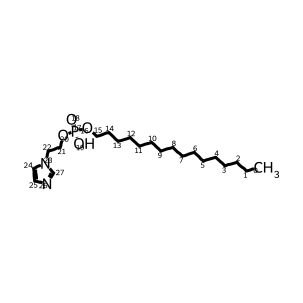 CCCCCCCCCCCCCCCCOP(=O)(O)OCCn1ccnc1